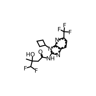 CC(O)(CC(=O)Nc1nc2ccc(C(F)(F)F)nc2n1C1CCC1)C(F)F